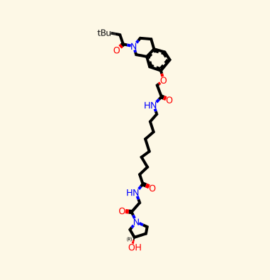 CC(C)(C)CC(=O)N1CCc2ccc(OCC(=O)NCCCCCCCCC(=O)NCC(=O)N3CC[C@@H](O)C3)cc2C1